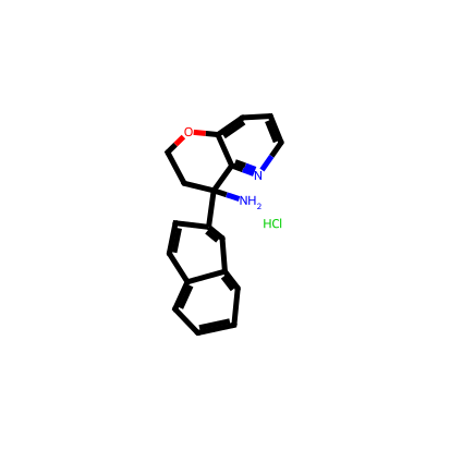 Cl.NC1(c2ccc3ccccc3c2)CCOc2cccnc21